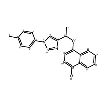 Cc1ccc(-n2cc(C(C)Oc3cnc(Cl)c4ccccc34)nn2)cc1